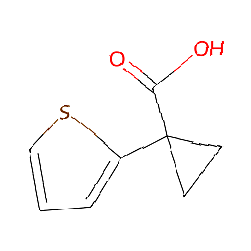 O=C(O)C1(c2cccs2)CC1